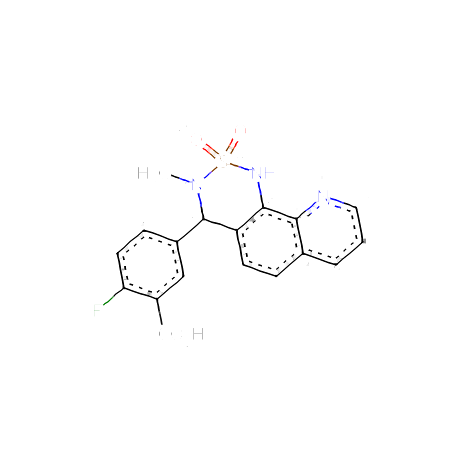 CN1C(c2ccc(F)c(C(=O)O)c2)c2ccc3cccnc3c2NS1(=O)=O